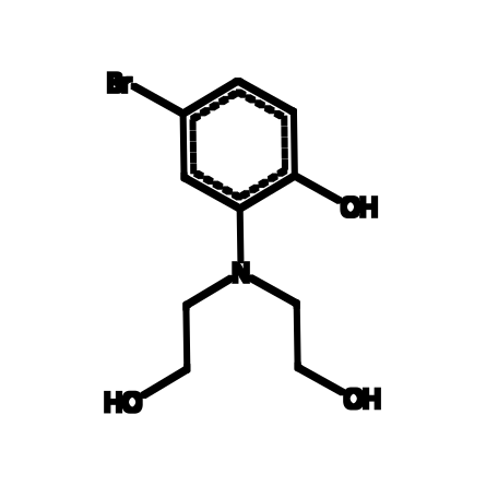 OCCN(CCO)c1cc(Br)ccc1O